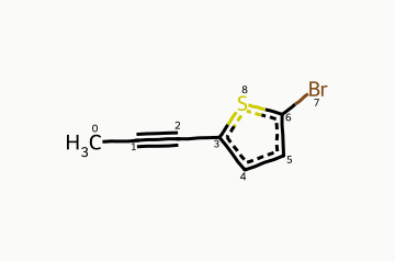 CC#Cc1ccc(Br)s1